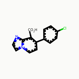 O=C(O)c1c(-c2ccc(Cl)cc2)ccn2ccnc12